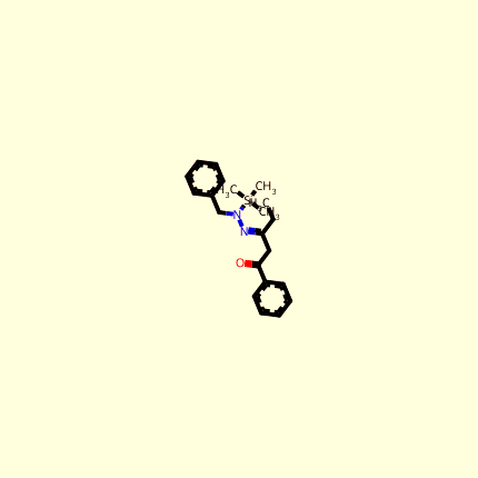 CCC(CC(=O)c1ccccc1)=NN(Cc1ccccc1)[Si](C)(C)C